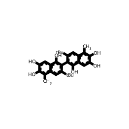 Cc1c(O)c(O)cc2c(O)c(-c3c(C(C)(C)C)cc4c(C)c(O)c(O)cc4c3O)c(C(C)(C)C)cc12